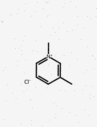 Cc1ccc[n+](C)c1.[Cl-]